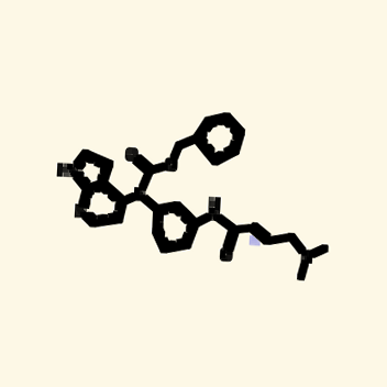 CN(C)C/C=C/C(=O)Nc1cccc(N(C(=O)OCc2ccccc2)c2ccnc3[nH]ccc23)c1